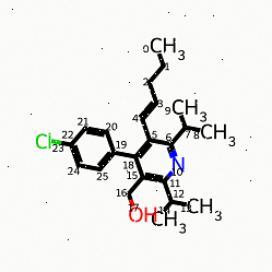 CCCC=Cc1c(C(C)C)nc(C(C)C)c(CO)c1-c1ccc(Cl)cc1